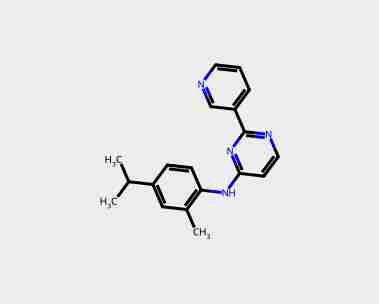 Cc1cc(C(C)C)ccc1Nc1ccnc(-c2cccnc2)n1